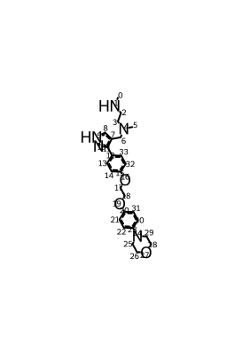 CNCCN(C)Cc1c[nH]nc1-c1ccc(OCCOc2ccc(N3CCOCC3)cc2)cc1